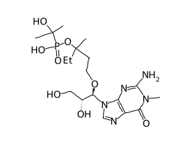 CCC(C)(CCO[C@H]([C@H](O)CO)n1cnc2c(=O)n(C)c(N)nc21)OP(=O)(O)C(C)(C)O